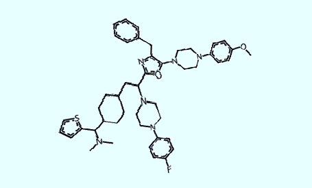 COc1ccc(N2CCN(c3oc(C(CC4CCC(C(c5cccs5)N(C)C)CC4)N4CCN(c5ccc(F)cc5)CC4)nc3Cc3ccccc3)CC2)cc1